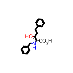 O=C(O)[C@H](NCc1ccccc1)[C@@H](O)CCc1ccccc1